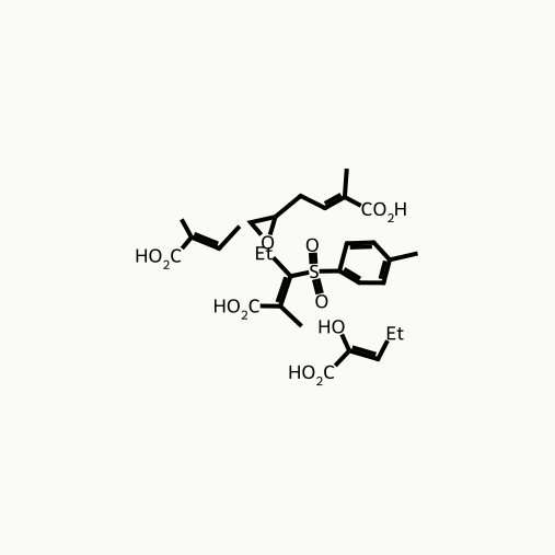 C/C(=C\CC1CO1)C(=O)O.C/C=C(\C)C(=O)O.CC/C(=C(/C)C(=O)O)S(=O)(=O)c1ccc(C)cc1.CC/C=C(\O)C(=O)O